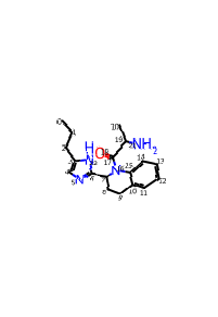 CCCc1cnc(C2CCc3ccccc3N2C(=O)C(C)N)[nH]1